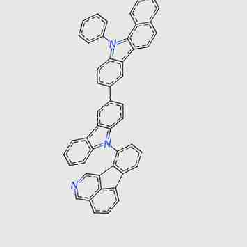 c1ccc(-n2c3ccc(-c4ccc5c(c4)c4ccccc4n5-c4cccc5c4-c4cncc6cccc-5c46)cc3c3ccc4ccccc4c32)cc1